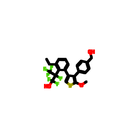 CCc1cccc(-c2csc(OC)c2-c2ccc(CO)cc2)c1C(F)(C(O)(F)F)C(F)(F)F